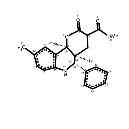 COC(=O)C1C[C@@H]2[C@H](OC1=O)c1cc(C(F)(F)F)ccc1N[C@H]2c1ccccc1